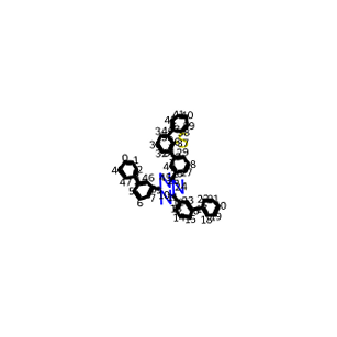 c1ccc(-c2cccc(-c3nc(-c4cccc(-c5ccccc5)c4)nc(-c4cccc(-c5cccc6c5sc5ccccc56)c4)n3)c2)cc1